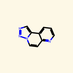 c1cnc2ccn3nncc3c2c1